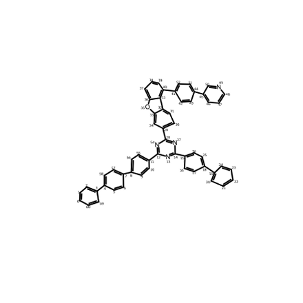 c1ccc(-c2ccc(-c3ccc(-c4nc(-c5ccc(-c6ccccc6)cc5)nc(-c5ccc6c(c5)oc5cccc(-c7ccc(-c8cccnc8)cc7)c56)n4)cc3)cc2)cc1